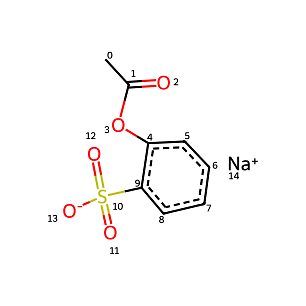 CC(=O)Oc1ccccc1S(=O)(=O)[O-].[Na+]